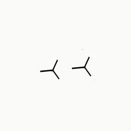 CCC(Br)Br.CCC(Br)Br.O